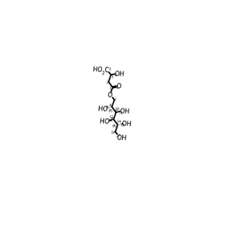 O=C(CC(O)C(=O)O)OC[C@@H](O)[C@@H](O)[C@H](O)[C@H](O)CO